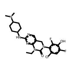 CCN1C(=O)N(c2c(Cl)cc(F)c(O)c2F)Cc2cnc(NC3CCC(N(C)C)CC3)nc21